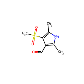 Cc1[nH]c(C)c(S(C)(=O)=O)c1C=O